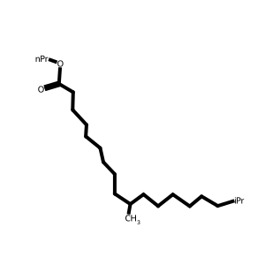 CCCOC(=O)CCCCCCCCC(C)CCCCCCC(C)C